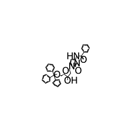 O=C(Nc1ccn([C@H]2CC(O)[C@@H](COC(c3ccccc3)(c3ccccc3)c3ccccc3)O2)c(=O)n1)c1ccccc1